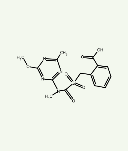 COc1nc(C)nc(N(C)C(=O)S(=O)(=O)Cc2ccccc2C(=O)O)n1